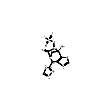 O=C1N2C[C@@H](c3scnc3C2c2nnco2)N1OS(=O)(=O)O